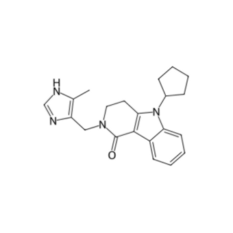 Cc1[nH]cnc1CN1CCc2c(c3ccccc3n2C2CCCC2)C1=O